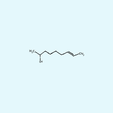 CC=CCCCCC(C)O